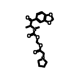 CC(C(=O)c1ccc2c(c1)OCO2)N(C)C(=O)OCOC(=O)CN1CCCC1